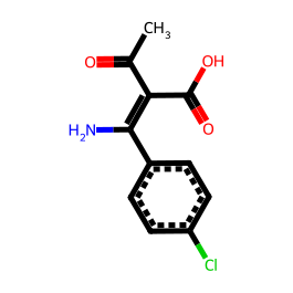 CC(=O)C(C(=O)O)=C(N)c1ccc(Cl)cc1